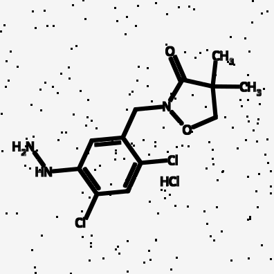 CC1(C)CON(Cc2cc(NN)c(Cl)cc2Cl)C1=O.Cl